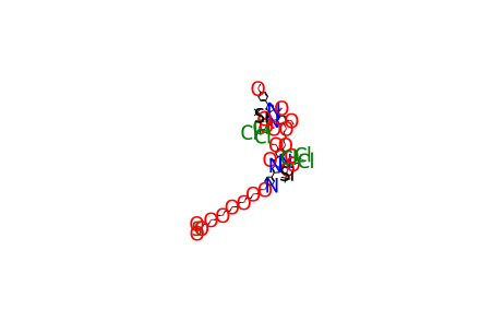 COc1ccc(C2=CN3C(=O)c4cc(OC)c(OCCCOc5cc6c(cc5OC)C(=O)N5C=C(c7ccc(OCCOCCOCCOCCOCCOCCOS(C)(=O)=O)nc7)CC5C(O[Si](C)(C)C(C)(C)C)N6C(=O)OCC(Cl)(Cl)Cl)cc4N(C(=O)OCC(Cl)(Cl)Cl)C(O[Si](C)(C)C(C)(C)C)C3C2)cc1